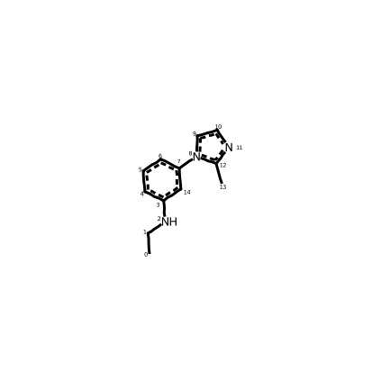 CCNc1cccc(-n2ccnc2C)c1